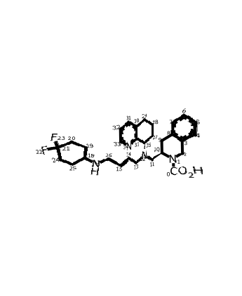 O=C(O)N1Cc2ccccc2C[C@@H]1CN(C/C=C/CNC1CCC(F)(F)CC1)[C@H]1CCCc2cccnc21